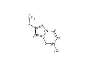 CCc1[c]n2c(n1)CN(Cl)C=C2